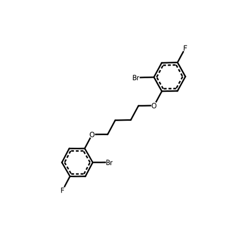 Fc1ccc(OCCCCOc2ccc(F)cc2Br)c(Br)c1